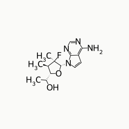 CC(O)[C@H]1O[C@@H](n2ccc3c(N)ncnc32)[C@](C)(F)[C@@H]1C